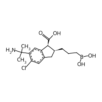 CC(C)(N)c1cc2c(cc1Cl)C[C@H](CCCB(O)O)[C@@H]2C(=O)O